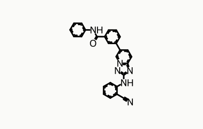 N#Cc1ccccc1Nc1nc2ccc(-c3cccc(C(=O)Nc4ccccc4)c3)cn2n1